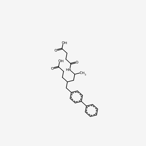 CC(CC(CCC(=O)O)Cc1ccc(-c2ccccc2)cc1)NC(=O)CCC(=O)O